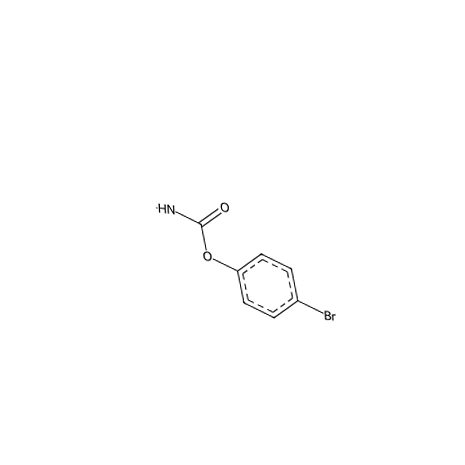 [NH]C(=O)Oc1ccc(Br)cc1